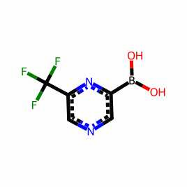 OB(O)c1cncc(C(F)(F)F)n1